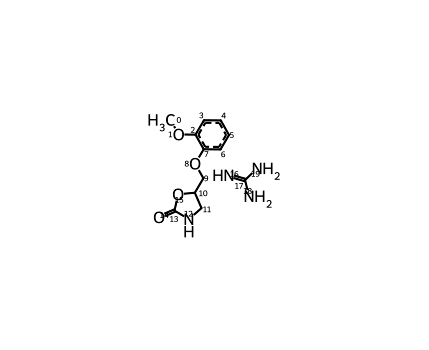 COc1ccccc1OCC1CNC(=O)O1.N=C(N)N